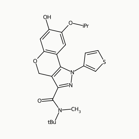 CC(C)Oc1cc2c(cc1O)OCc1c(C(=O)N(C)C(C)(C)C)nn(-c3ccsc3)c1-2